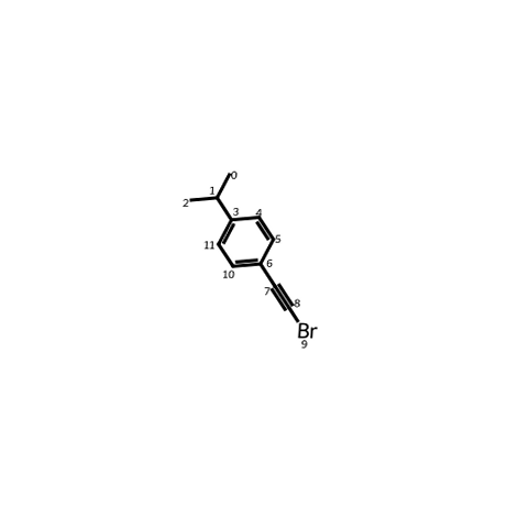 CC(C)c1ccc(C#CBr)cc1